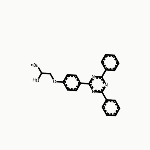 CCCCC(O)COc1ccc(-c2nc(-c3ccccc3)nc(-c3ccccc3)n2)cc1